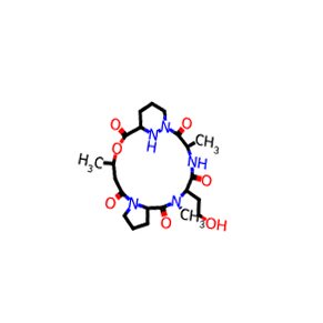 CC1CC(=O)N2CCCC2C(=O)N(C)C(CCO)C(=O)NC(C)C(=O)N2CCCC(N2)C(=O)O1